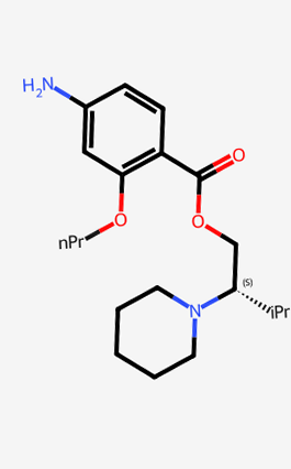 CCCOc1cc(N)ccc1C(=O)OC[C@H](C(C)C)N1CCCCC1